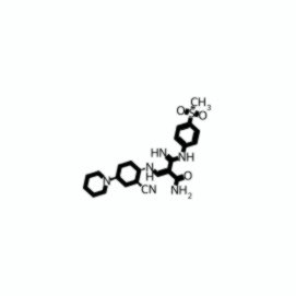 CS(=O)(=O)c1ccc(NC(=N)/C(=C\N[C@H]2CC[C@H](N3CCCCC3)C[C@@H]2C#N)C(N)=O)cc1